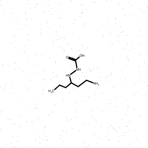 CCCC(CCN)NNC(=O)O